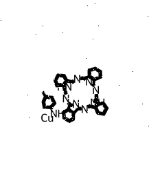 Cc1ccc([NH][Cu])cc1.c1ccc2c(c1)-c1nc-2nc2[nH]c(nc3nc(nc4[nH]c(n1)c1ccccc41)-c1ccccc1-3)c1ccccc21